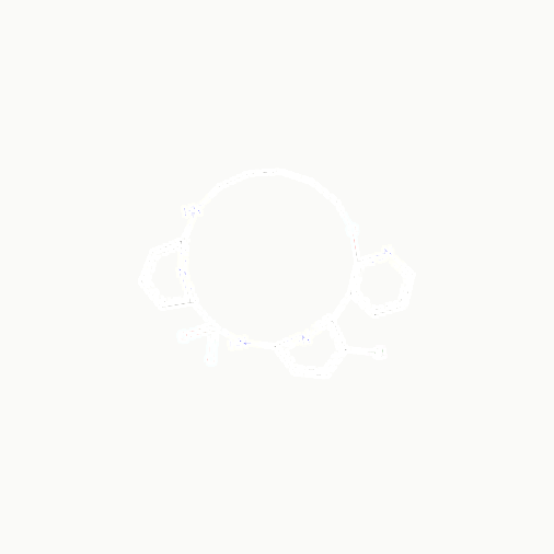 O=S1(=O)Nc2ccc(Cl)c(n2)-c2cccnc2OCCCCCNc2cccc1n2